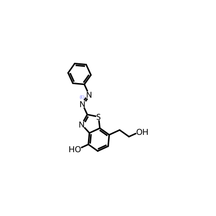 OCCc1ccc(O)c2nc(/N=N/c3ccccc3)sc12